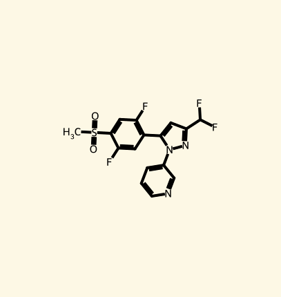 CS(=O)(=O)c1cc(F)c(-c2cc(C(F)F)nn2-c2cccnc2)cc1F